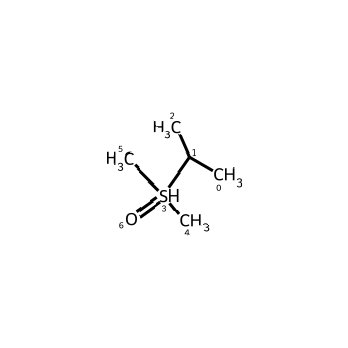 CC(C)[SH](C)(C)=O